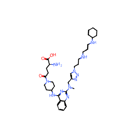 CN(Cc1cn(CCCNCCCNC2CCCCC2)nn1)c1nc(NC2CCN(C(=O)CC[C@H](N)C(=O)O)CC2)c2ccccc2n1